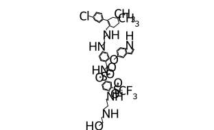 CC1(C)CCC(CNCCNc2ccc(C(=O)NS(=O)(=O)c3ccc(NCCCNCCO)c(S(=O)(=O)C(F)(F)F)c3)c(Oc3ccc4[nH]ccc4c3)c2)=C(c2ccc(Cl)cc2)C1